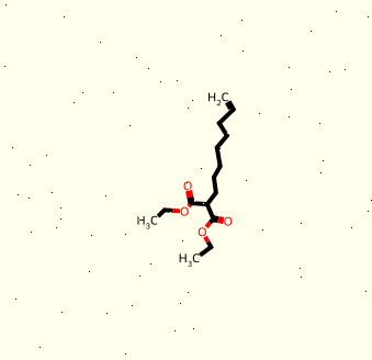 C=CCCCCCCC(C(=O)OCC)C(=O)OCC